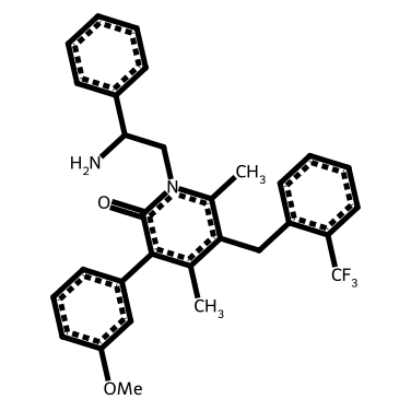 COc1cccc(-c2c(C)c(Cc3ccccc3C(F)(F)F)c(C)n(CC(N)c3ccccc3)c2=O)c1